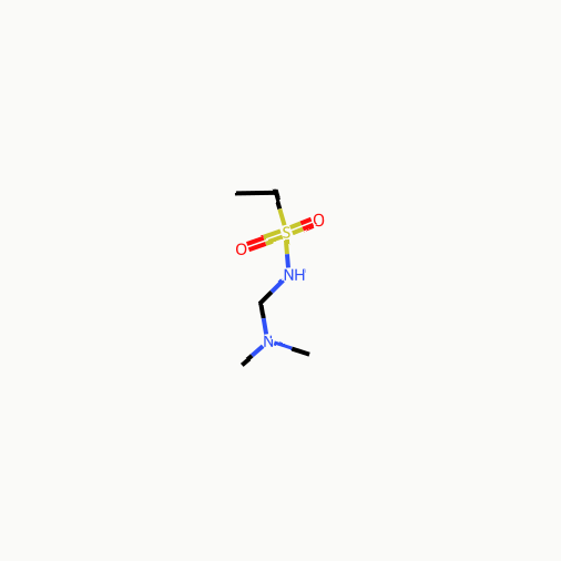 CCS(=O)(=O)NCN(C)C